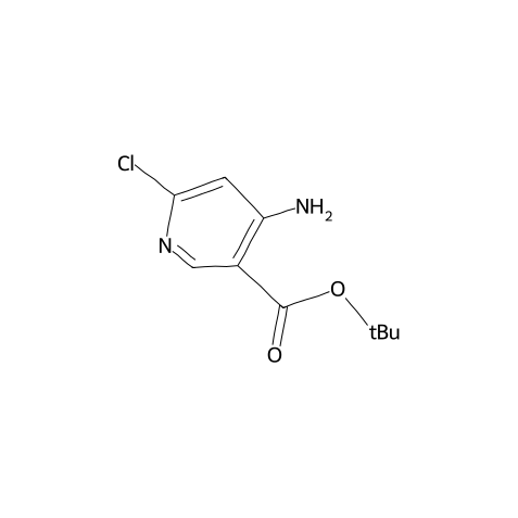 CC(C)(C)OC(=O)c1cnc(Cl)cc1N